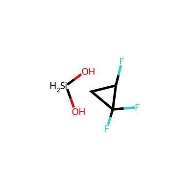 FC1CC1(F)F.O[SiH2]O